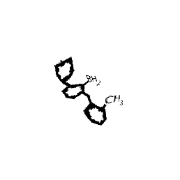 Bc1c(Cc2ccccc2C)cccc1-c1ccccc1